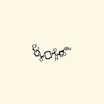 CC(C)(C)c1cc(NC(=O)N2CCCN(C(=O)N3CCN(CC(F)(F)F)CC3)CCC2)no1